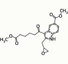 COC(=O)CCCCC(=O)c1c(CC2CO2)[nH]c2ccc(C(=O)OC)cc12